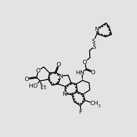 CC[C@@]1(O)C(=O)OCc2c1cc1n(c2=O)Cc2c-1nc1cc(F)c(C)c3c1c2[C@@H](NC(=O)OCCSSc1ccccn1)CC3